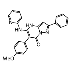 COc1ccc(-c2c(Nc3ccccn3)[nH]c3cc(-c4ccccc4)nn3c2=O)cc1